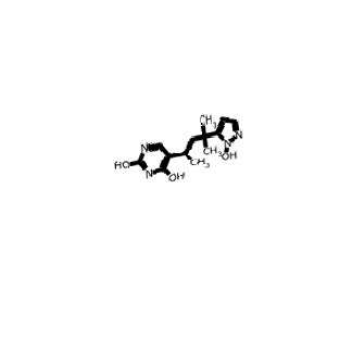 C[C@H](CC(C)(C)c1ccnn1O)c1cnc(O)nc1O